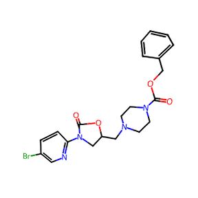 O=C(OCc1ccccc1)N1CCN(CC2CN(c3ccc(Br)cn3)C(=O)O2)CC1